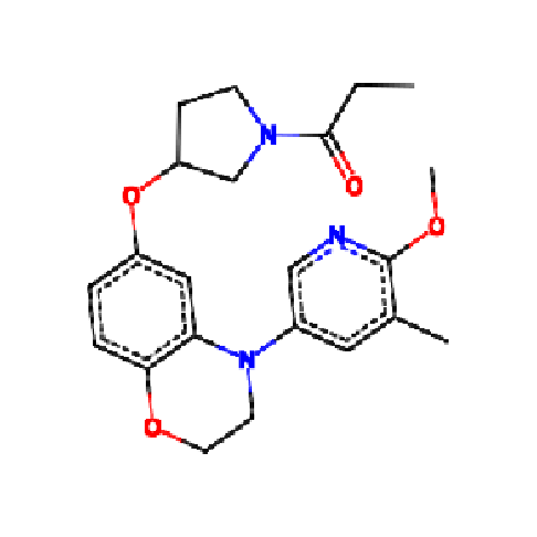 CCC(=O)N1CCC(Oc2ccc3c(c2)N(c2cnc(OC)c(C)c2)CCO3)C1